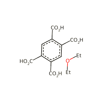 CCOCC.O=C(O)c1cc(C(=O)O)c(C(=O)O)cc1C(=O)O